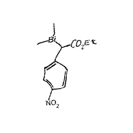 CCOC(=O)[CH](c1ccc([N+](=O)[O-])cc1)[Bi]([CH3])[CH3]